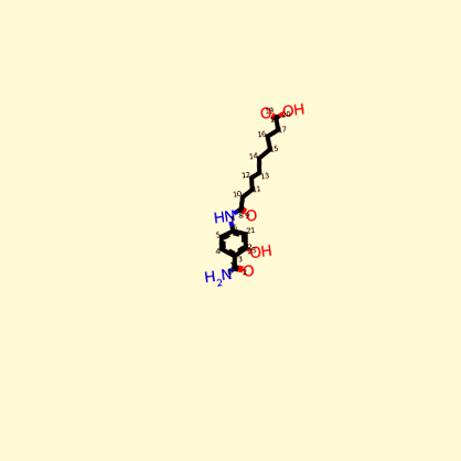 NC(=O)c1ccc(NC(=O)CCCCCCCCC(=O)O)cc1O